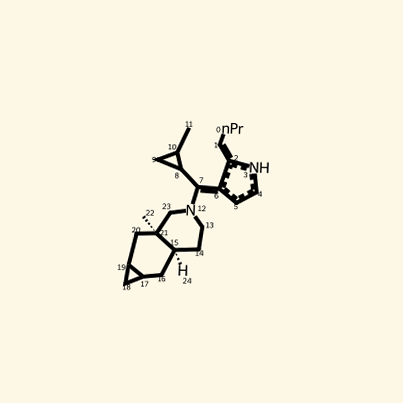 CCC/C=c1\[nH]cc\c1=C(\C1CC1C)N1CC[C@H]2CC3CC3C[C@@]2(C)C1